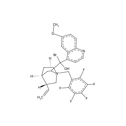 C=C[C@H]1C[N+]2(Cc3c(F)c(F)c(F)c(F)c3F)CC[C@H]1C[C@H]2C(O)(Br)c1ccnc2ccc(OC)cc12